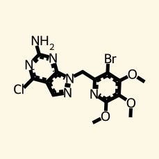 COc1nc(Cn2ncc3c(Cl)nc(N)nc32)c(Br)c(OC)c1OC